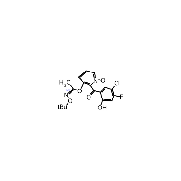 C/C(=N/OC(C)(C)C)Oc1ccc[n+]([O-])c1C(=O)c1cc(Cl)c(F)cc1O